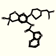 C[C@@]1(O)COc2nc(N3CCN(CC(F)F)CC3)c(NC(=O)c3cnn4cccnc34)cc2C1